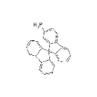 Pc1ccc2c(c1)C1(c3ccccc3-c3ccccc31)c1ccccc1-2